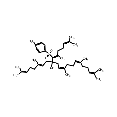 CC(C)=CCCC(C)=CCCC(C)=CCC(O)(C/C=C(\C)CCC=C(C)C)/C(=C(\C)CCC=C(C)C)S(=O)(=O)c1ccc(C)cc1